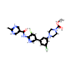 Cc1ncc(C(=O)Nc2ncc(-c3cc(Cl)cc(N4CCN(C(=O)OC(C)(C)C)CC4)c3)cc2F)cn1